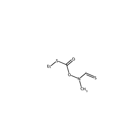 CCSC(=O)ON(C)[C]=S